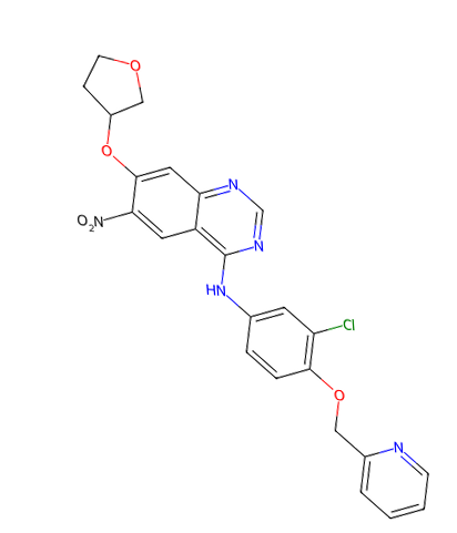 O=[N+]([O-])c1cc2c(Nc3ccc(OCc4ccccn4)c(Cl)c3)ncnc2cc1OC1CCOC1